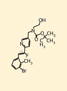 Cc1c(Br)cccc1/C=C(\F)c1ccc(CN(CCO)C(=O)OC(C)(C)C)cn1